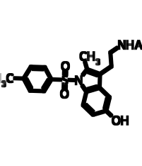 CC(=O)NCCc1c(C)n(S(=O)(=O)c2ccc(C)cc2)c2ccc(O)cc12